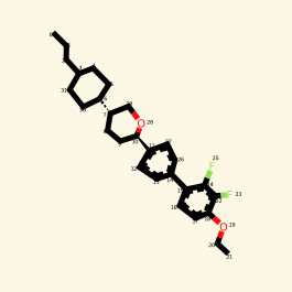 CCCC1CCC([C@H]2CC[C@H](c3ccc(-c4ccc(OCC)c(F)c4F)cc3)OC2)CC1